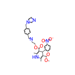 COC(=O)C1=C(C)NC(C)=C(C(=O)OCCN=Cc2ccc(Cn3ccnc3)cc2)C1c1cccc([N+](=O)[O-])c1